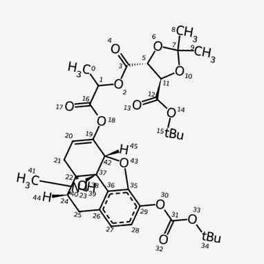 CC(OC(=O)[C@@H]1OC(C)(C)O[C@H]1C(=O)OC(C)(C)C)C(=O)OC1=CC[C@@]2(O)[C@H]3Cc4ccc(OC(=O)OC(C)(C)C)c5c4[C@@]2(CCN3C)[C@H]1O5